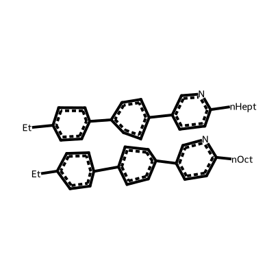 CCCCCCCCc1ccc(-c2ccc(-c3ccc(CC)cc3)cc2)cn1.CCCCCCCc1ccc(-c2ccc(-c3ccc(CC)cc3)cc2)cn1